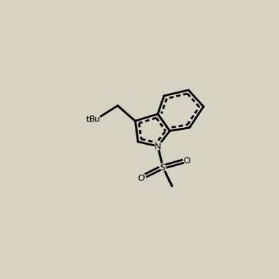 CC(C)(C)Cc1cn(S(C)(=O)=O)c2ccccc12